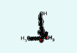 CCC1(OC)c2ccccc2-c2c1c1c(c3cc(OC)c(OC(=O)c4ccc(-c5ccc(OC(=O)c6ccc(OCCO)cc6)cc5)cc4)cc23)OC(c2ccccc2)(c2ccc(N3CCN(c4ccc(OC)cc4)CC3)cc2)C=C1